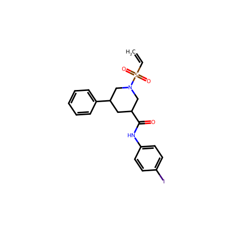 C=CS(=O)(=O)N1CC(C(=O)Nc2ccc(I)cc2)CC(c2ccccc2)C1